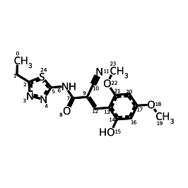 CCc1nnc(NC(=O)/C(C#N)=C/c2c(O)cc(OC)cc2OC)s1